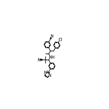 CC(NC(c1cccc(-n2nccn2)c1)C(C)(C)C#N)C(Cc1ccc(Cl)cc1)c1cccc(C#N)c1